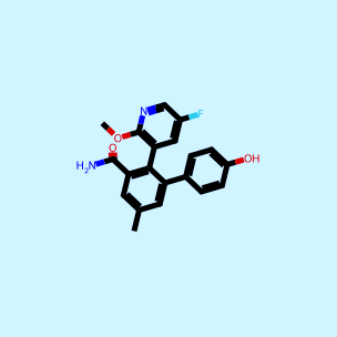 COc1ncc(F)cc1-c1c(C(N)=O)cc(C)cc1-c1ccc(O)cc1